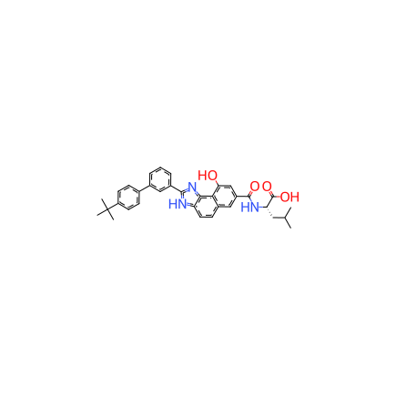 CC(C)C[C@H](NC(=O)c1cc(O)c2c(ccc3[nH]c(-c4cccc(-c5ccc(C(C)(C)C)cc5)c4)nc32)c1)C(=O)O